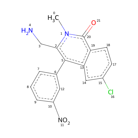 Cn1c(CN)c(-c2cccc([N+](=O)[O-])c2)c2cc(Cl)ccc2c1=O